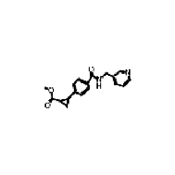 COC(=O)C1CC1c1ccc(C(=O)NCc2cccnc2)cc1